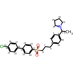 CC(c1ccc(CCCS(=O)(=O)c2ccc(-c3ccc(Cl)cc3)cc2)cc1)N1CCCC1